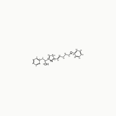 OC(Cc1ccccc1)c1csc(/C=C/CCCOc2[c]cccc2)n1